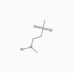 CCN(C)CCS(C)(=O)=O